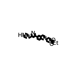 CCS(=O)(=O)N1CCC(N2C=Cc3cc(-c4cncc(CN5CCNCC5)c4)ccc3C2)CC1